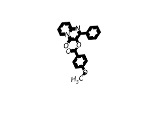 COc1ccc(C(=O)Oc2c(-c3ccccc3)nc3ccccn3c2=O)cc1